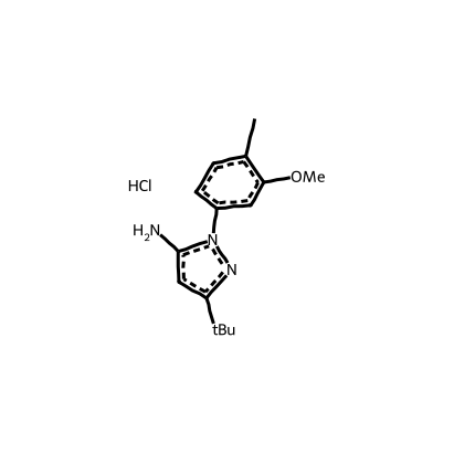 COc1cc(-n2nc(C(C)(C)C)cc2N)ccc1C.Cl